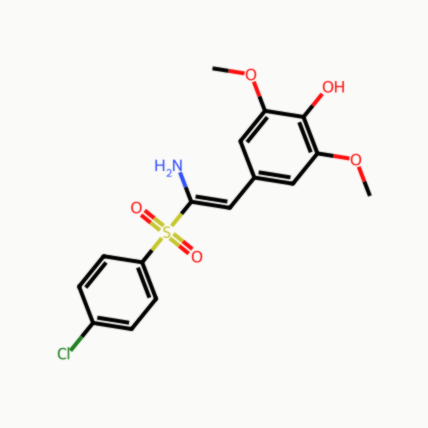 COc1cc(/C=C(\N)S(=O)(=O)c2ccc(Cl)cc2)cc(OC)c1O